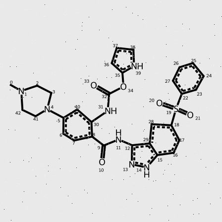 CN1CCN(c2ccc(C(=O)Nc3n[nH]c4ccc(S(=O)(=O)c5ccccc5)cc34)c(NC(=O)Oc3ccc[nH]3)c2)CC1